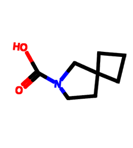 O=C(O)N1CCC2(CCC2)C1